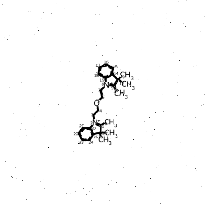 CC1=[N+](CCOCC[N+]2=C(C)C(C)(C)c3ccccc32)c2ccccc2C1(C)C